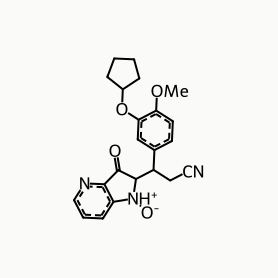 COc1ccc(C(CC#N)C2C(=O)c3ncccc3[NH+]2[O-])cc1OC1CCCC1